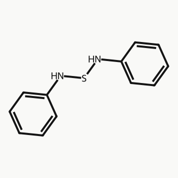 c1ccc(NSNc2ccccc2)cc1